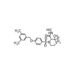 Cc1cc(C)cc(COc2ccc(S(=O)(=O)N3CCSC(C)(C)[C@@H]3C(=O)NO)cc2)c1